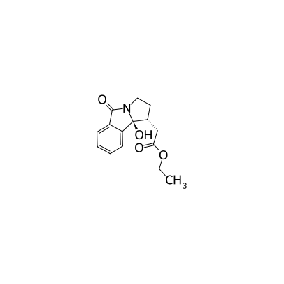 CCOC(=O)C[C@H]1CCN2C(=O)c3ccccc3[C@@]12O